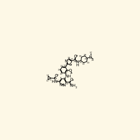 COc1c(Nc2cc(NC(=O)C3CC3)nnc2C(N)=O)cccc1-c1ncc(C(=O)NC2CCC(N(C)C)CC2)s1